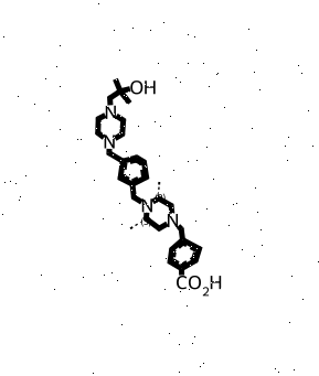 C[C@@H]1CN(Cc2ccc(C(=O)O)cc2)C[C@H](C)N1Cc1cccc(CN2CCN(CC(C)(C)O)CC2)c1